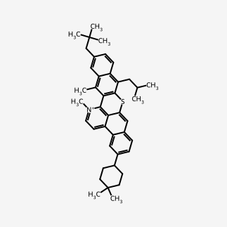 Cc1c2c(c(CC(C)C)c3ccc(CC(C)(C)C)cc13)Sc1cc3ccc(C4CCC(C)(C)CC4)cc3c3cc[n+](C)c-2c13